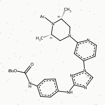 CC(=O)N1[C@H](C)CN(c2cc(-n3cnc(Nc4ccc(NC(=O)OCC(C)C)cc4)n3)ccn2)C[C@@H]1C